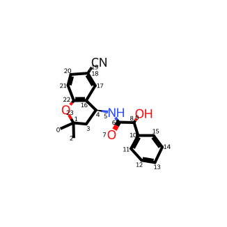 CC1(C)C[C@H](NC(=O)C(O)c2ccccc2)c2cc(C#N)ccc2O1